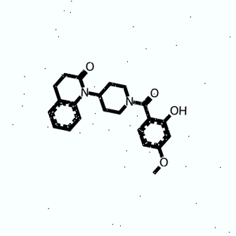 COc1ccc(C(=O)N2CCC(N3C(=O)CCc4ccccc43)CC2)c(O)c1